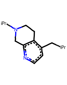 CC(C)Cc1ccnc2c1CCN(C(C)C)C2